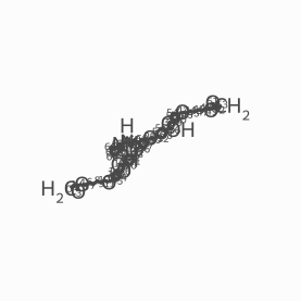 C=CC(=O)OCCCCCCOc1ccc(OC(=O)C2CCC(COc3ccc(OCC4CCC(C(O)Oc5ccc(OCCCCCCOC(=O)C=C)cc5)CC4)cc3CNNc3nc4ccccc4s3)CC2)cc1